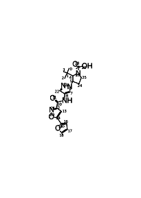 CC(C)(C)C1C(n2cc(NC(=O)c3cc(-c4ccco4)on3)cn2)CCN1C(=O)O